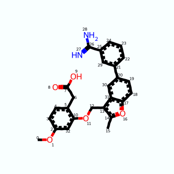 COc1ccc(CC(=O)O)c(OCc2c(C)oc3ccc(-c4cccc(C(=N)N)c4)cc23)c1